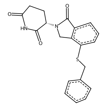 O=C1CC[C@H](N2Cc3c(SCc4ccccc4)cccc3C2=O)C(=O)N1